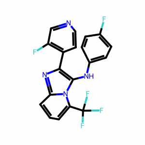 Fc1ccc(Nc2c(-c3ccncc3F)nc3cccc(C(F)(F)F)n23)cc1